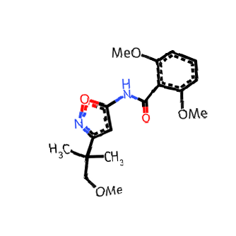 COCC(C)(C)c1cc(NC(=O)c2c(OC)cccc2OC)on1